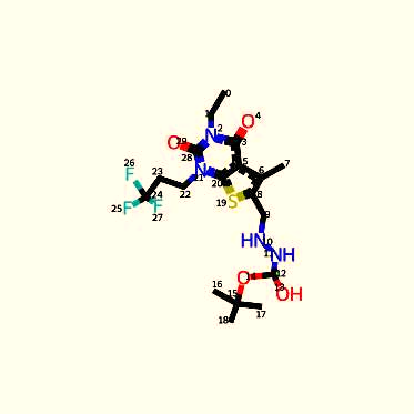 CCn1c(=O)c2c(C)c(CNNC(O)OC(C)(C)C)sc2n(CCC(F)(F)F)c1=O